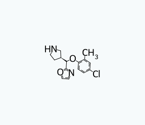 Cc1cc(Cl)ccc1OC(c1ncco1)[C@H]1CCNC1